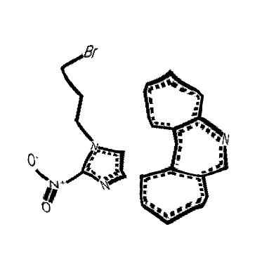 O=[N+]([O-])c1nccn1CCCBr.c1ccc2c(c1)cnc1ccccc12